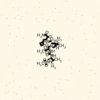 CC(C)[C@@H](CNS(C)(=O)=O)NC(=O)N[C@H](C(=O)N1C[C@H]2[C@@H]([C@H]1C(=O)NC(CC1CCC1)C(=O)C(N)=O)C2(C)C)C(C)(C)C